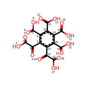 O=C(O)C(=O)c1c(C(=O)O)c(C(=O)O)c(C(=O)O)c(C(=O)O)c1C(=O)C(=O)O